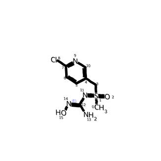 CS(=O)(Cc1ccc(Cl)nc1)=N/C(N)=N/O